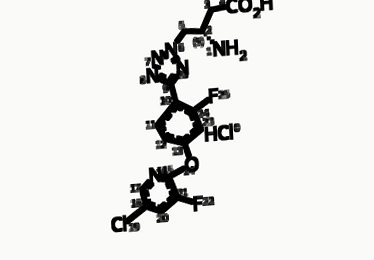 Cl.N[C@@H](CC(=O)O)Cn1nnc(-c2ccc(Oc3ncc(Cl)cc3F)cc2F)n1